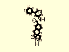 O=C(Nc1cncc(-c2ccccc2)c1)c1ccc2c(c1)CCC1(CCNC1=O)C2